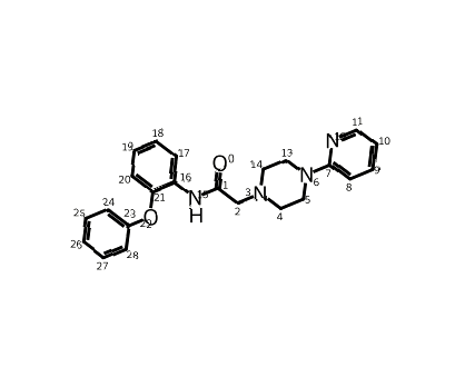 O=C(CN1CCN(c2ccccn2)CC1)Nc1ccccc1Oc1ccccc1